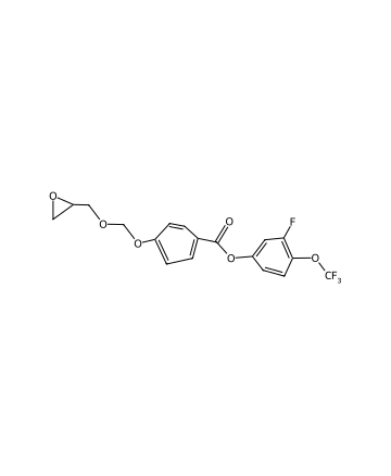 O=C(Oc1ccc(OC(F)(F)F)c(F)c1)c1ccc(OCOCC2CO2)cc1